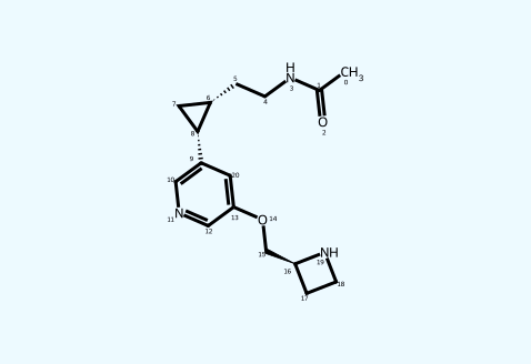 CC(=O)NCC[C@H]1C[C@H]1c1cncc(OC[C@@H]2CCN2)c1